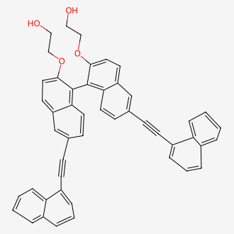 OCCOc1ccc2cc(C#Cc3cccc4ccccc34)ccc2c1-c1c(OCCO)ccc2cc(C#Cc3cccc4ccccc34)ccc12